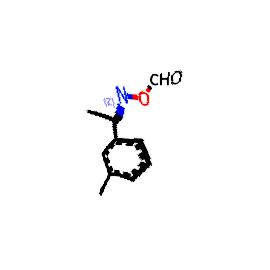 C/C(=N/OC=O)c1cccc(C)c1